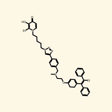 CC/C(=C(/C1=CC=C(OCCN(C)Cc2ccc(-c3cn(CCCCCn4ccc(=O)c(O)c4CC)nn3)cc2)CC1)c1ccccc1)c1ccccc1